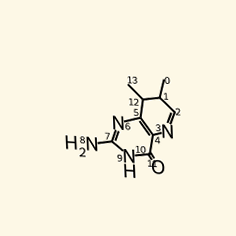 CC1C=Nc2c(nc(N)[nH]c2=O)C1C